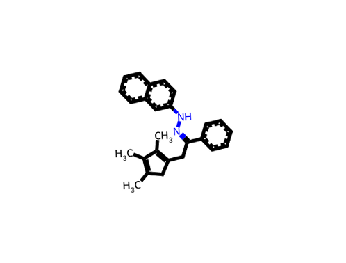 CC1=C(C)C(C)=C(CC(=NNc2ccc3ccccc3c2)c2ccccc2)C1